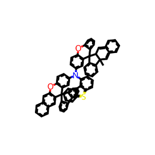 CC12C=c3ccccc3=CC1C1(c3ccccc3Oc3ccc(N(c4ccc5c(c4)C4(c6cc7ccccc7cc6O5)c5ccccc5-c5ccccc54)c4cccc5sc6ccccc6c45)cc31)c1ccccc12